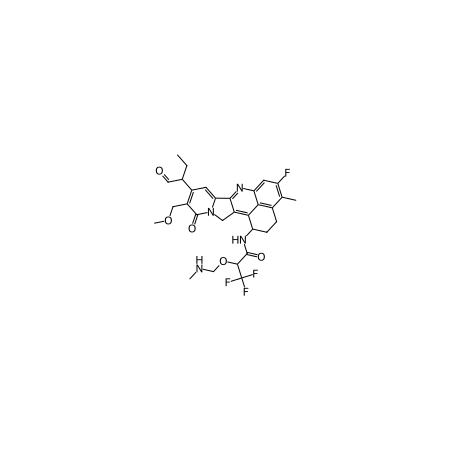 CCC(C=O)c1cc2n(c(=O)c1COC)Cc1c-2nc2cc(F)c(C)c3c2c1C(NC(=O)C(OCNC)C(F)(F)F)CC3